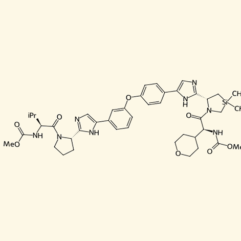 COC(=O)N[C@H](C(=O)N1CCC[C@H]1c1ncc(-c2cccc(Oc3ccc(-c4cnc([C@@H]5C[Si](C)(C)CN5C(=O)[C@@H](NC(=O)OC)C5CCOCC5)[nH]4)cc3)c2)[nH]1)C(C)C